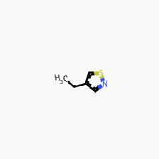 CCc1[c]nsc1